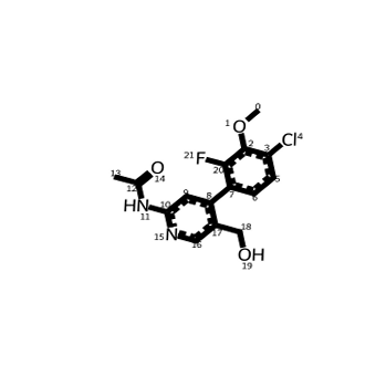 COc1c(Cl)ccc(-c2cc(NC(C)=O)ncc2CO)c1F